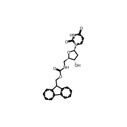 O=C(NC[C@H]1O[C@@H](n2ccc(=O)[nH]c2=O)C[C@@H]1O)OCC1c2ccccc2-c2ccccc21